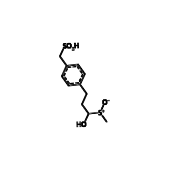 C[S+]([O-])C(O)CCc1ccc(CS(=O)(=O)O)cc1